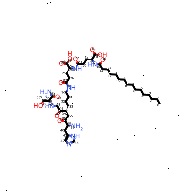 CCCCCCCCCCCCCCCC(=O)N[C@@H](CCC(=O)N[C@@H](CCC(=O)NCCCC[C@H](CC(=O)[C@@H](N)Cc1cnc[nH]1)C(=O)CN[C@H](C(N)=O)[C@@H](C)O)C(=O)O)C(=O)O